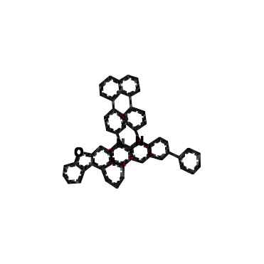 c1ccc(-c2ccc(N(c3ccccc3)c3ccc(-c4cccc5cccc(-c6ccc(N(c7ccccc7)c7cc8oc9ccccc9c8c8ccccc78)cc6)c45)cc3)cc2)cc1